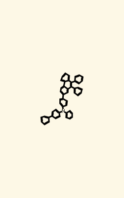 c1ccc(-c2ccc(N(c3ccccc3)c3ccc(-c4ccc5c(c4)c(-c4ccccc4)c(-c4ccccc4)c4ccccc45)cc3)cc2)cc1